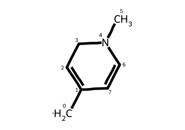 [CH2]C1=CCN(C)C=C1